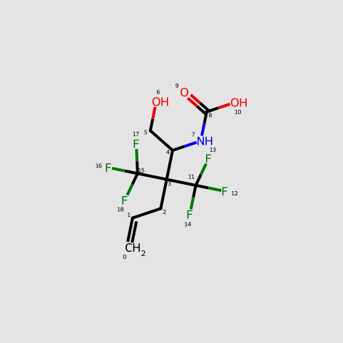 C=CCC(C(CO)NC(=O)O)(C(F)(F)F)C(F)(F)F